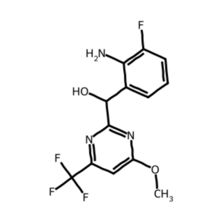 COc1cc(C(F)(F)F)nc(C(O)c2cccc(F)c2N)n1